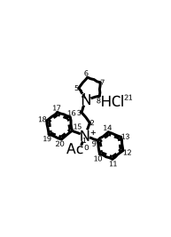 CC(=O)[N+](CCN1CCCC1)(c1ccccc1)c1ccccc1.Cl